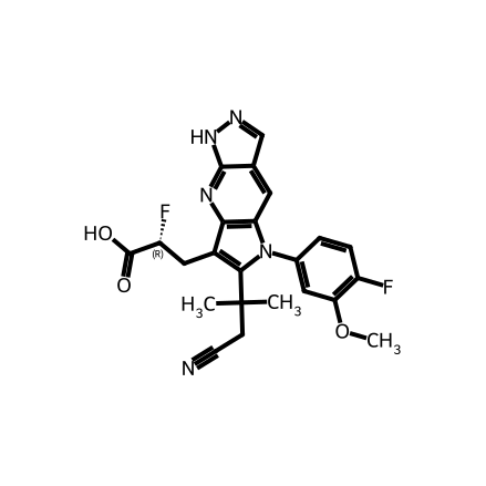 COc1cc(-n2c(C(C)(C)CC#N)c(C[C@@H](F)C(=O)O)c3nc4[nH]ncc4cc32)ccc1F